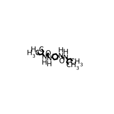 CCC(CC)NC(=O)N[C@H]1CC[C@H](NC(=O)NC(CC)CC)CC1